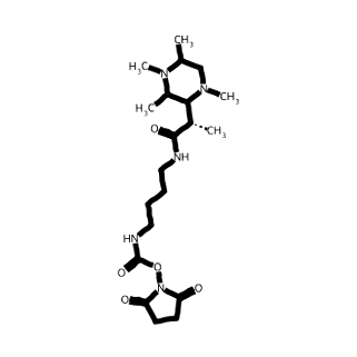 CC1CN(C)C([C@H](C)C(=O)NCCCCNC(=O)ON2C(=O)CCC2=O)C(C)N1C